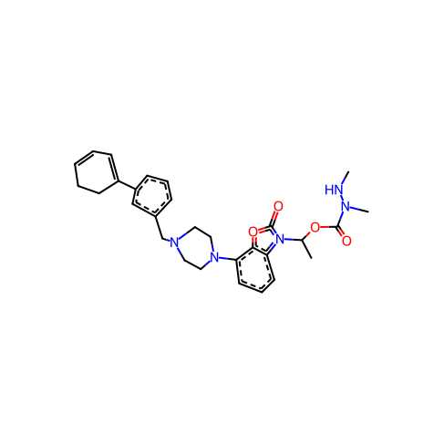 CNN(C)C(=O)OC(C)n1c(=O)oc2c(N3CCN(Cc4cccc(C5=CC=CCC5)c4)CC3)cccc21